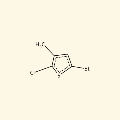 CCc1cc(C)c(Cl)s1